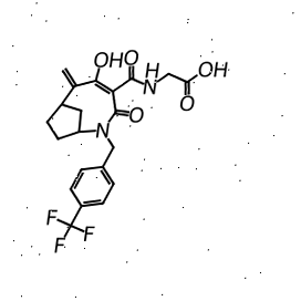 C=C1/C(O)=C(/C(=O)NCC(=O)O)C(=O)N(Cc2ccc(C(F)(F)F)cc2)C2CCC1C2